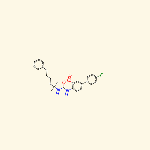 CC(C)(CCCCc1ccccc1)NC(=O)Nc1ccc(-c2ccc(F)cc2)cc1O